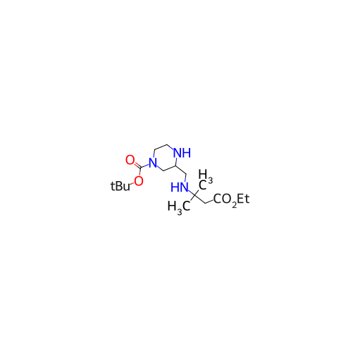 CCOC(=O)CC(C)(C)NCC1CN(C(=O)OC(C)(C)C)CCN1